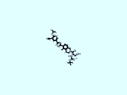 Cc1c(-c2noc(-c3cnc(OC(C)C)c(C#N)c3)n2)ccc2c1CCN(C(=O)[C@@H](NC(=O)OC(C)(C)C)[C@@H](C)O)C2